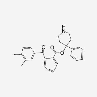 Cc1ccc(C(=O)c2ccccc2C(=O)OC2(c3ccccc3)CCNCC2)cc1C